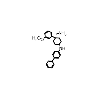 COc1cccc([C@]2(CN)CC[C@@H](Nc3ccc(-c4ccccc4)cc3)CC2)c1